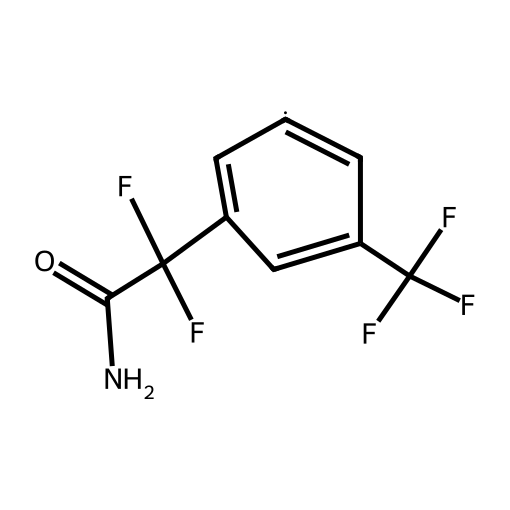 NC(=O)C(F)(F)c1c[c]cc(C(F)(F)F)c1